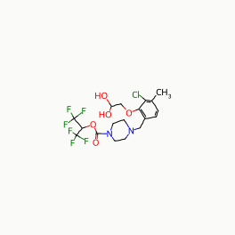 Cc1ccc(CN2CCN(C(=O)OC(C(F)(F)F)C(F)(F)F)CC2)c(OCC(O)O)c1Cl